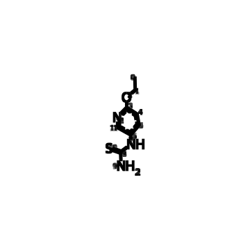 CCOc1ccc(NC(N)=S)cn1